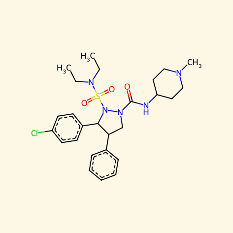 CCN(CC)S(=O)(=O)N1C(c2ccc(Cl)cc2)C(c2ccccc2)CN1C(=O)NC1CCN(C)CC1